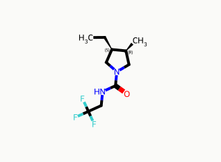 CC[C@@H]1CN(C(=O)NCC(F)(F)F)C[C@@H]1C